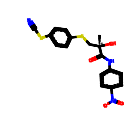 C[C@@](O)(CSc1ccc(SC#N)cc1)C(=O)Nc1ccc([N+](=O)[O-])cc1